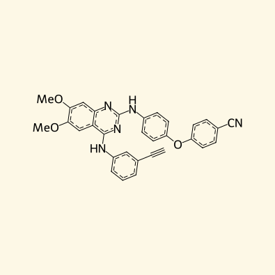 C#Cc1cccc(Nc2nc(Nc3ccc(Oc4ccc(C#N)cc4)cc3)nc3cc(OC)c(OC)cc23)c1